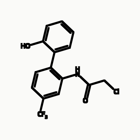 O=C(CCl)Nc1cc(C(F)(F)F)ccc1-c1ccccc1O